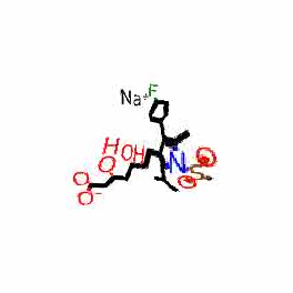 Cc1c(-c2ccc(F)cc2)c(/C=C/[C@@H](O)C[C@@H](O)CC(=O)[O-])c(C(C)C)n1S(C)(=O)=O.[Na+]